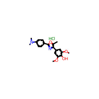 COc1cc(-c2nc(-c3ccc(N(C)C)cc3)oc2C)cc(OC)c1O.Cl